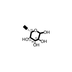 C#C[C@@H]1OC(O)[C@@H](O)[C@H](O)[C@@H]1O